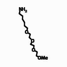 COCCOCCOCCOCCCCCCN